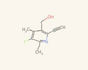 C#Cc1nc(C)c(F)c(C)c1CO